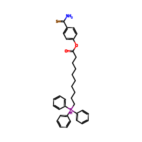 NC(=S)c1ccc(OC(=O)CCCCCCCCC[PH](c2ccccc2)(c2ccccc2)c2ccccc2)cc1